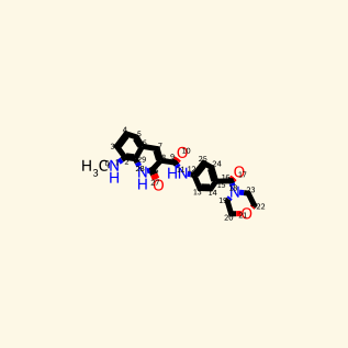 CNc1cccc2cc(C(=O)Nc3ccc(C(=O)N4CCOCC4)cc3)c(=O)[nH]c12